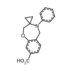 O=C(O)c1ccc2c(c1)OCC1(CC1)N(c1ccccc1)C2